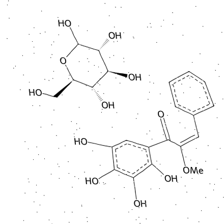 COC(=Cc1ccccc1)C(=O)c1cc(O)c(O)c(O)c1O.OC[C@H]1OC(O)[C@H](O)[C@@H](O)[C@@H]1O